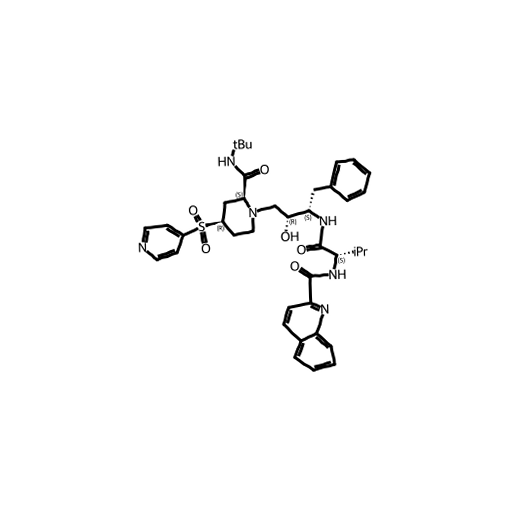 CC(C)[C@H](NC(=O)c1ccc2ccccc2n1)C(=O)N[C@@H](Cc1ccccc1)[C@H](O)CN1CC[C@@H](S(=O)(=O)c2ccncc2)C[C@H]1C(=O)NC(C)(C)C